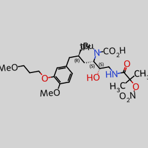 COCCCOc1cc(C[C@H](C[C@@H]([C@@H](O)CNC(=O)C(C)(C)O[N+](=O)[O-])N(C(=O)O)C(C)(C)C)C(C)C)ccc1OC